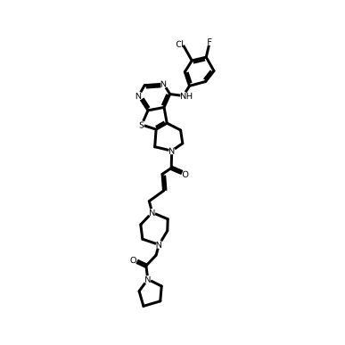 O=C(C=CCN1CCN(CC(=O)N2CCCC2)CC1)N1CCc2c(sc3ncnc(Nc4ccc(F)c(Cl)c4)c23)C1